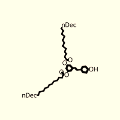 CCCCCCCCCCCCCCCCCCCCCC(=O)Oc1cc(C=Cc2ccc(O)cc2)cc(OC(=O)CCCCCCCCCCCCCCCCCCCCC)c1